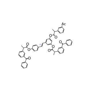 CC(=O)c1cccc(C(C)C(=O)Oc2cc(/C=C/c3ccc(OC(=O)C(C)c4cccc(C(=O)c5ccccc5)c4)cc3)cc(OC(=O)C(C)c3cccc(C(=O)c4ccccc4)c3)c2)c1